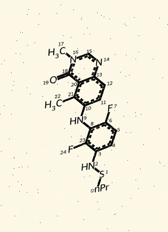 CCCSNc1ccc(F)c(Nc2ccc3ncn(C)c(=O)c3c2C)c1F